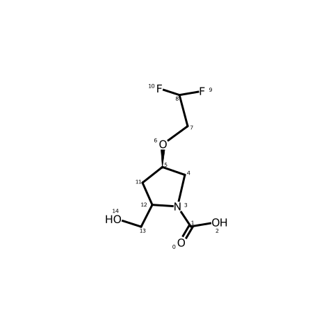 O=C(O)N1C[C@H](OCC(F)F)CC1CO